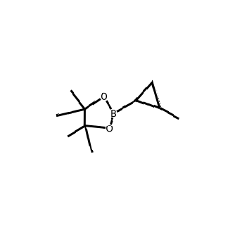 CC1CC1B1OC(C)(C)C(C)(C)O1